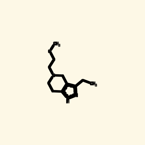 CCc1n[nH]c2c1CN(CCOC)CC2